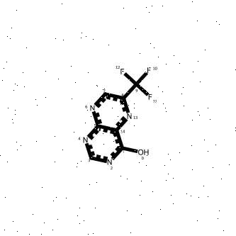 Oc1ncnc2ncc(C(F)(F)F)nc12